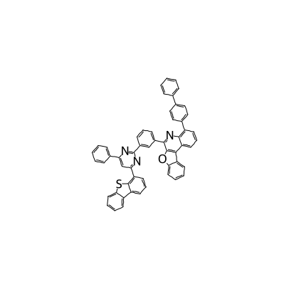 c1ccc(-c2ccc(-c3cccc4c3nc(-c3cccc(-c5nc(-c6ccccc6)cc(-c6cccc7c6sc6ccccc67)n5)c3)c3oc5ccccc5c34)cc2)cc1